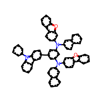 c1ccc(-n2c3ccccc3c3cc(-c4cc(N(c5ccc6ccccc6c5)c5ccc6c(c5)oc5ccccc56)cc(N(c5ccc6ccccc6c5)c5ccc6c(c5)oc5ccccc56)c4)ccc32)cc1